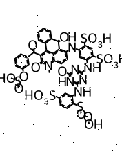 Cn1c(=O)c(C(=O)c2cccc(OS(=O)O)c2)c2c3c(c(Nc4cc(Nc5nc(O)nc(Nc6cc(S(=O)(=O)O)ccc6SOOO)n5)c(S(=O)(=O)O)cc4S(=O)(=O)O)ccc31)C(=O)c1ccccc1-2